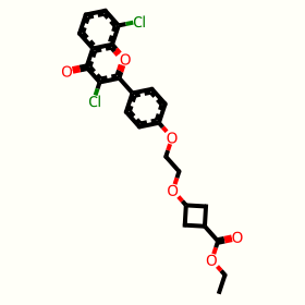 CCOC(=O)C1CC(OCCOc2ccc(-c3oc4c(Cl)cccc4c(=O)c3Cl)cc2)C1